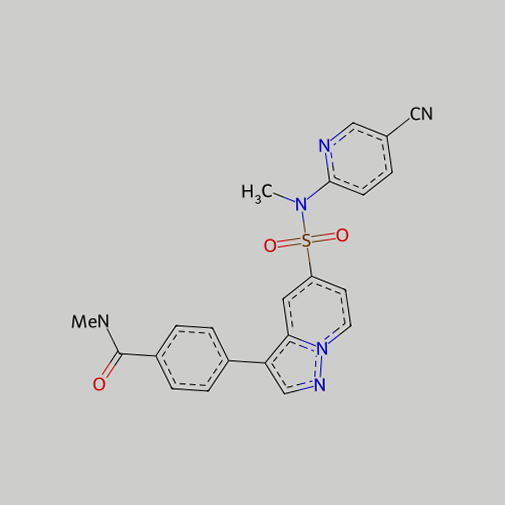 CNC(=O)c1ccc(-c2cnn3ccc(S(=O)(=O)N(C)c4ccc(C#N)cn4)cc23)cc1